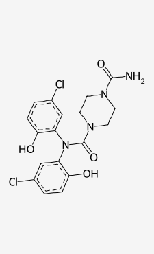 NC(=O)N1CCN(C(=O)N(c2cc(Cl)ccc2O)c2cc(Cl)ccc2O)CC1